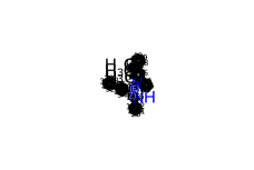 CC1c2c(c3ccccc3n2/C=N/C(=C\C(=N)c2ccccc2)c2ccc(-c3ccccc3)cc2)C=C2c3ccccc3C(C)(C)C21